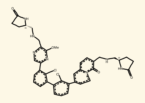 COc1nc(-c2cccc(-c3cccc(-c4ccn5c(=O)c(CNC[C@H]6CCC(=O)N6)ccc5c4)c3Cl)c2Cl)cnc1CNC[C@@H]1CCC(=O)N1